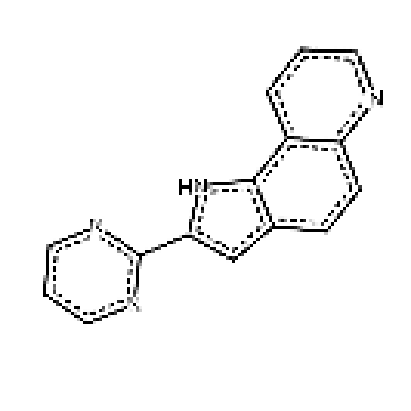 c1cnc(-c2cc3ccc4ncccc4c3[nH]2)nc1